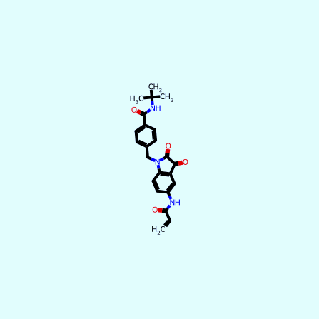 C=CC(=O)Nc1ccc2c(c1)C(=O)C(=O)N2Cc1ccc(C(=O)NC(C)(C)C)cc1